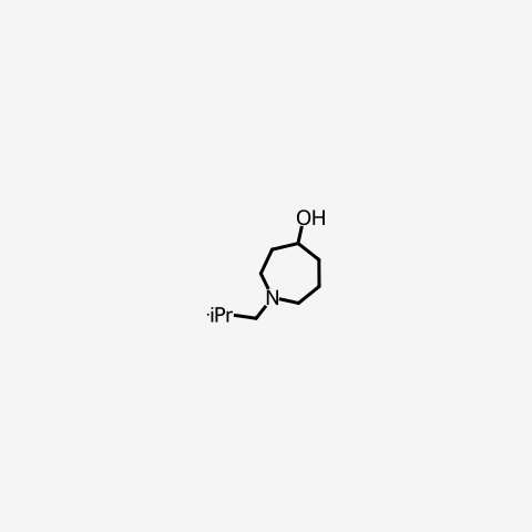 C[C](C)CN1CCCC(O)CC1